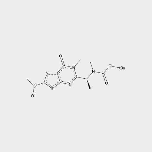 C[C@@H](c1nc2sc([S+](C)[O-])nc2c(=O)n1C)N(C)C(=O)OC(C)(C)C